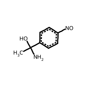 CC(N)(O)c1ccc(N=O)cc1